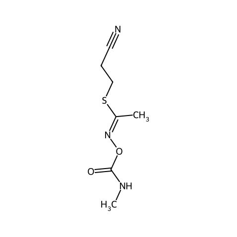 CNC(=O)O/N=C(\C)SCCC#N